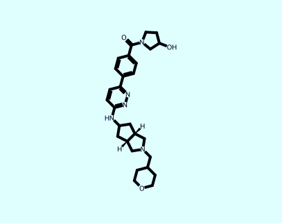 O=C(c1ccc(-c2ccc(NC3C[C@@H]4CN(CC5CCOCC5)C[C@@H]4C3)nn2)cc1)N1CCC(O)C1